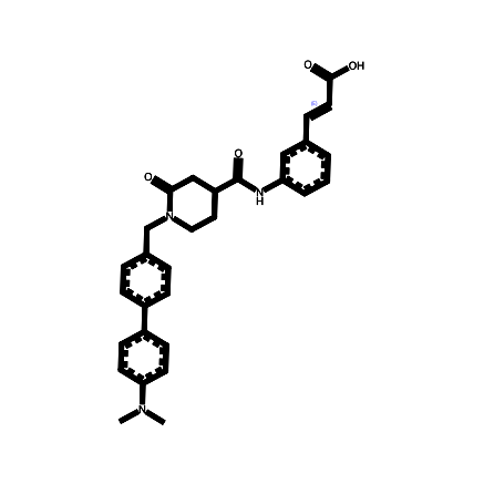 CN(C)c1ccc(-c2ccc(CN3CCC(C(=O)Nc4cccc(/C=C/C(=O)O)c4)CC3=O)cc2)cc1